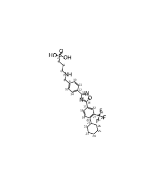 O=P(O)(O)CCCNCc1ccc(-c2noc(-c3ccc(C4CCCCC4)c(C(F)(F)F)c3)n2)cc1